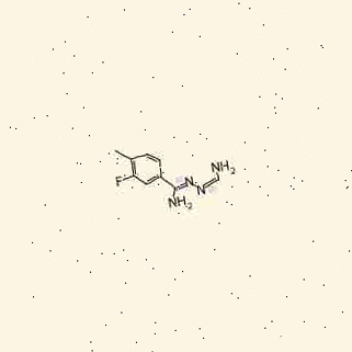 Cc1ccc(/C(N)=N/N=C\N)cc1F